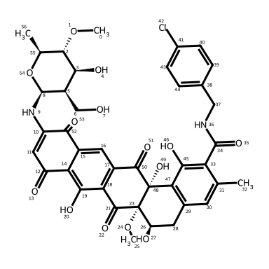 CO[C@@H]1[C@@H](O)[C@@H](CO)[C@@H](NC2=CC(=O)c3c(cc4c(c3O)C(=O)[C@]3(OC)[C@H](O)Cc5cc(C)c(C(=O)NCc6ccc(Cl)cc6)c(O)c5[C@]3(O)C4=O)C2=O)O[C@H]1C